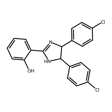 Oc1ccccc1C1=NC(c2ccc(Cl)cc2)C(c2ccc(Cl)cc2)N1